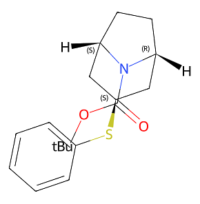 CC(C)(C)OC(=O)N1[C@@H]2CC[C@H]1C[C@H](Sc1ccccc1)C2